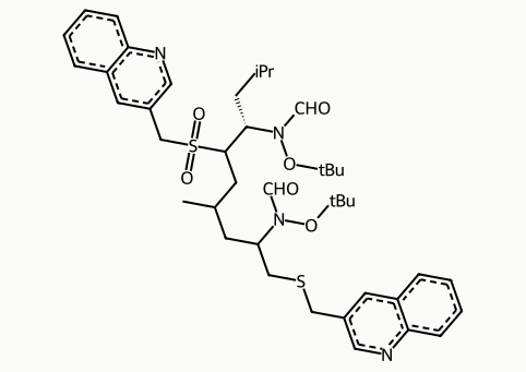 CC(C)C[C@@H](C(CC(C)CC(CSCc1cnc2ccccc2c1)N(C=O)OC(C)(C)C)S(=O)(=O)Cc1cnc2ccccc2c1)N(C=O)OC(C)(C)C